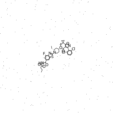 CCCS(=O)(=O)NC(=O)c1cc(F)c2nc(N3CC[C@@H](OC(=O)c4c(-c5c(Cl)cccc5Cl)noc4C4(F)CC4)C[C@H]3CC)sc2c1